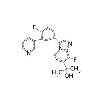 CC(C)(O)c1ccn2c(-c3ccc(F)c(-c4cccnc4)c3)cnc2c1F